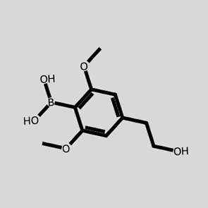 COc1cc(CCO)cc(OC)c1B(O)O